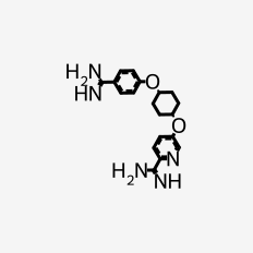 N=C(N)c1ccc(O[C@H]2CC[C@@H](Oc3ccc(C(=N)N)nc3)CC2)cc1